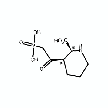 O=C(O)[C@H]1NCCC[C@H]1C(=O)CP(=O)(O)O